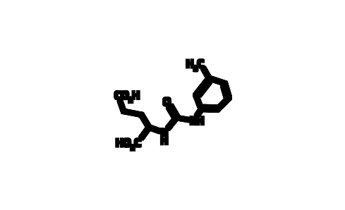 Cc1cccc(NC(=O)NC(CCC(=O)O)C(=O)O)c1